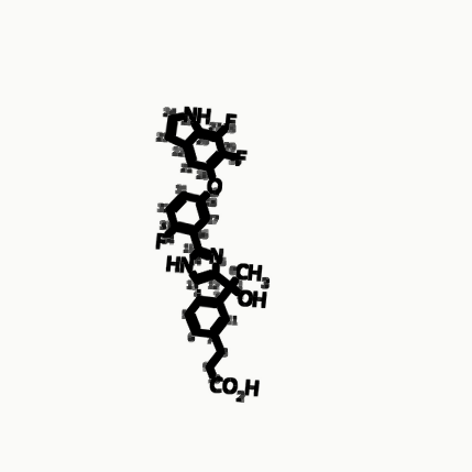 CC(O)(c1cccc(CCC(=O)O)c1)c1c[nH]c(-c2cc(Oc3cc4cc[nH]c4c(F)c3F)ccc2F)n1